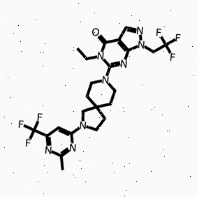 CCn1c(N2CCC3(CCN(c4cc(C(F)(F)F)nc(C)n4)C3)CC2)nc2c(cnn2CC(F)(F)F)c1=O